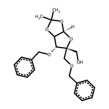 CC1(C)OC2[C@@H](O1)O[C@](CO)(COCc1ccccc1)[C@@H]2OCc1ccccc1